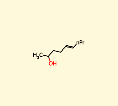 CCCC=CCCC(C)O